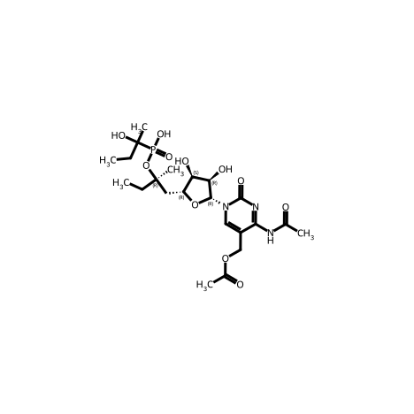 CCC(C)(O)P(=O)(O)O[C@](C)(CC)C[C@H]1O[C@@H](n2cc(COC(C)=O)c(NC(C)=O)nc2=O)[C@H](O)[C@@H]1O